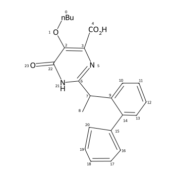 CCCCOc1c(C(=O)O)nc(C(C)c2ccccc2-c2ccccc2)[nH]c1=O